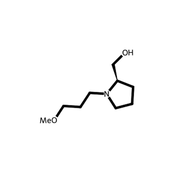 COCCCN1CCC[C@@H]1CO